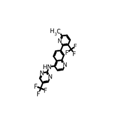 Cc1ccc(C(F)(F)F)c(-c2ccc3c(Nc4ncc(C(F)(F)F)cn4)ccnc3c2)n1